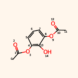 CC(=O)Oc1cccc(OC(C)=O)c1O